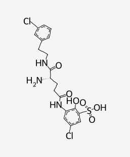 N[C@@H](CCC(=O)Nc1cc(Cl)cc(S(=O)(=O)O)c1O)C(=O)NCCc1cccc(Cl)c1